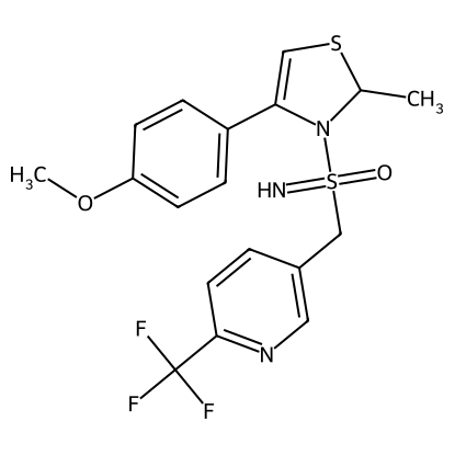 COc1ccc(C2=CSC(C)N2S(=N)(=O)Cc2ccc(C(F)(F)F)nc2)cc1